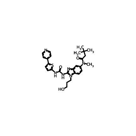 CN(C(=O)CC(C)(C)C)c1ccc2c(c1)nc(NC(=O)Nc1ccc(-c3ccncc3)s1)n2CCCO